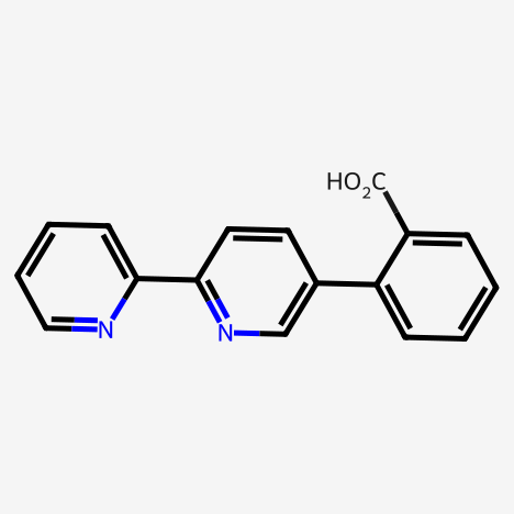 O=C(O)c1ccccc1-c1ccc(-c2ccccn2)nc1